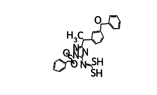 CC(c1cccc(C(=O)c2ccccc2)c1)c1nc(N=C(S)S)n(S(=O)(=O)c2ccccc2)n1